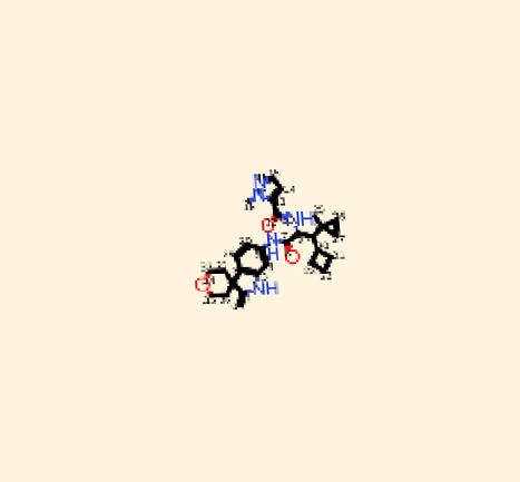 C=C1Nc2cc(NC(=O)[C@@H](NC(=O)c3ccnn3C)C(C3CCC3)C3(C)CC3)ccc2C12CCOCC2